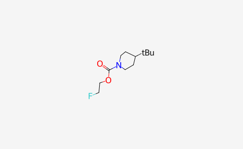 CC(C)(C)C1CCN(C(=O)OCCF)CC1